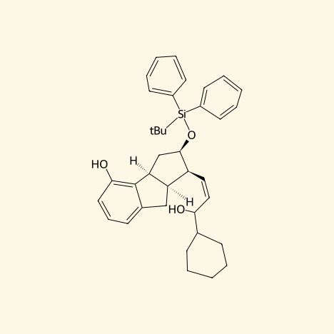 CC(C)(C)[Si](O[C@@H]1C[C@@H]2c3c(O)cccc3C[C@@H]2[C@@H]1/C=C\C(O)C1CCCCC1)(c1ccccc1)c1ccccc1